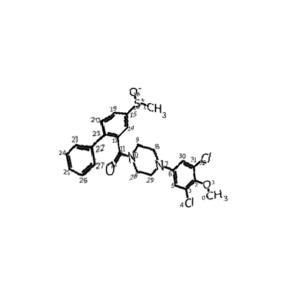 COc1c(Cl)cc(N2CCN(C(=O)c3cc([S+](C)[O-])ccc3-c3ccccc3)CC2)cc1Cl